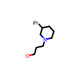 CC(C)C1CCCN(CCC[O])C1